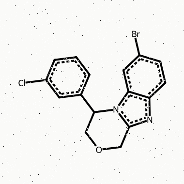 Clc1cccc(C2COCc3nc4ccc(Br)cc4n32)c1